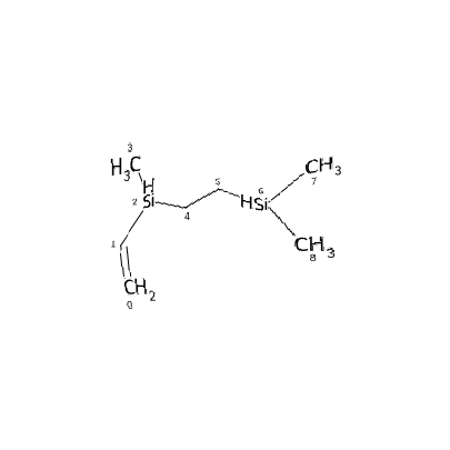 C=C[SiH](C)CC[SiH](C)C